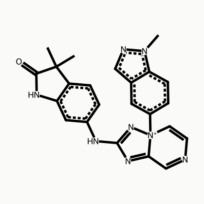 Cn1ncc2cc([N+]34C=CN=CC3=NC(Nc3ccc5c(c3)NC(=O)C5(C)C)=N4)ccc21